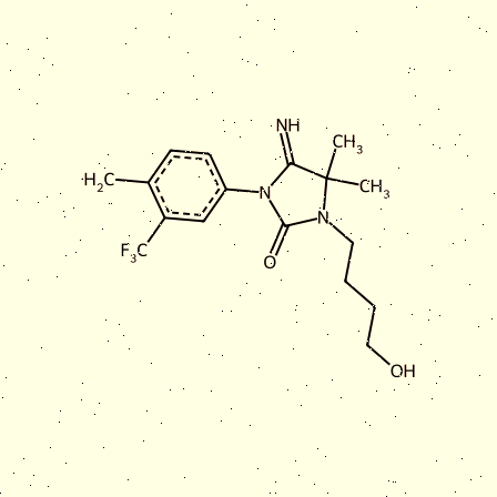 [CH2]c1ccc(N2C(=N)C(C)(C)N(CCCCO)C2=O)cc1C(F)(F)F